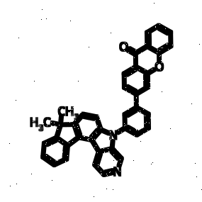 CC1(C)c2ccccc2-c2c1ccc1c2c2ccncc2n1-c1cccc(-c2ccc3c(=O)c4ccccc4oc3c2)c1